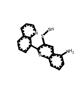 Nc1cccc2nc(-c3cccc4cccnc34)c(SS)cc12